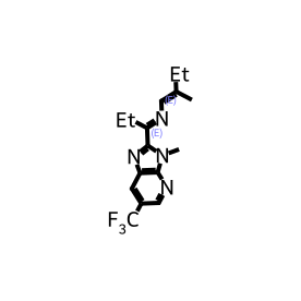 CC/C(C)=C/N=C(\CC)c1nc2cc(C(F)(F)F)cnc2n1C